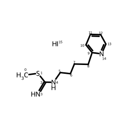 CSC(=N)NCCCCc1ccccn1.I